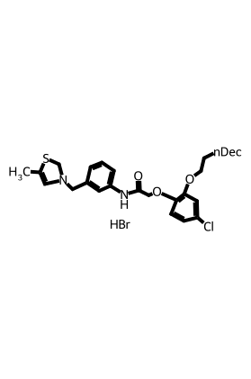 Br.CCCCCCCCCCCCOc1cc(Cl)ccc1OCC(=O)Nc1cccc(CN2C=C(C)SC2)c1